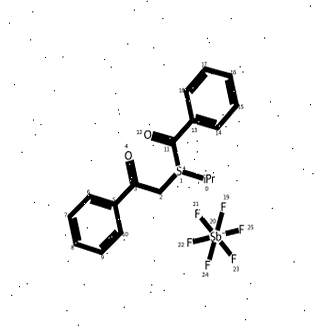 CC(C)[S+](CC(=O)c1ccccc1)C(=O)c1ccccc1.[F][Sb-]([F])([F])([F])([F])[F]